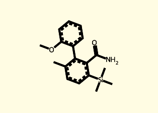 COc1ccccc1-c1c(C)ccc([Si](C)(C)C)c1C(N)=O